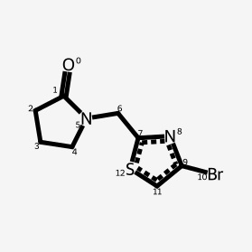 O=C1CCCN1Cc1nc(Br)cs1